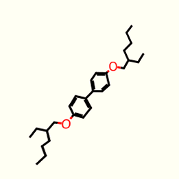 CCCCC(CC)COc1ccc(-c2ccc(OCC(CC)CCCC)cc2)cc1